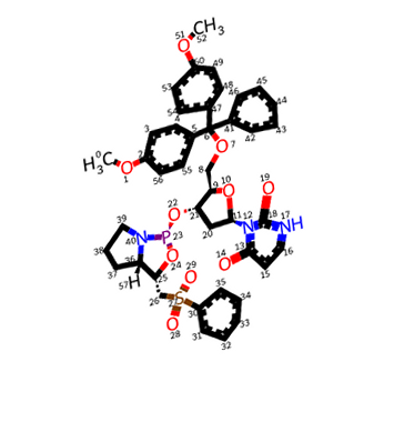 COc1ccc(C(OC[C@H]2O[C@@H](n3c(=O)cc[nH]c3=O)C[C@@H]2O[P@@]2O[C@H](CS(=O)(=O)c3ccccc3)[C@@H]3CCCN32)(c2ccccc2)c2ccc(OC)cc2)cc1